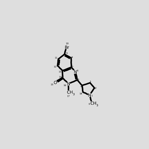 CN1CCC(c2nc3cc(Br)ccc3c(=O)n2C)C1